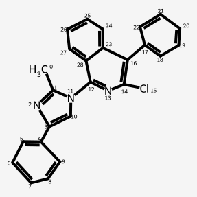 Cc1nc(-c2ccccc2)cn1-c1nc(Cl)c(-c2ccccc2)c2ccccc12